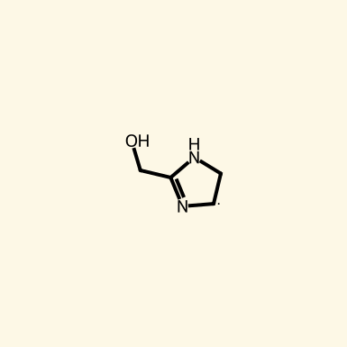 OCC1=N[CH]CN1